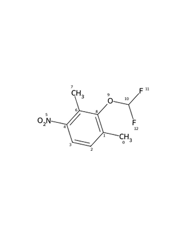 Cc1ccc([N+](=O)[O-])c(C)c1OC(F)F